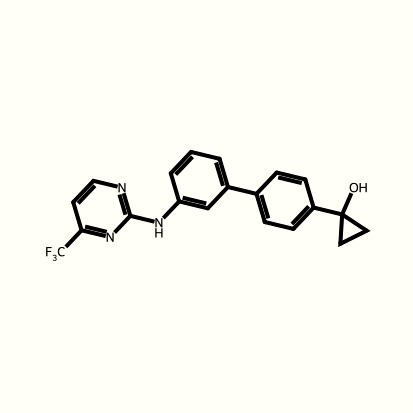 OC1(c2ccc(-c3cccc(Nc4nccc(C(F)(F)F)n4)c3)cc2)CC1